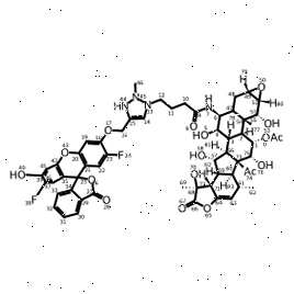 CC(=O)O[C@H]1[C@H]2[C@@H]([C@@H](O)[C@@H](NC(=O)CCCN3C=C(COc4cc5c(cc4F)C4(OC(=O)c6ccccc64)c4cc(F)c(O)cc4O5)NN3C)C3C[C@@H]4O[C@@H]4[C@H](O)[C@@]32C)[C@@H]2[C@@H](O)[C@@H]3[C@H]([C@H](C)C=C4OC(=O)[C@@](C)(O)[C@@]43C)[C@@]2(C(C)=O)[C@H]1O